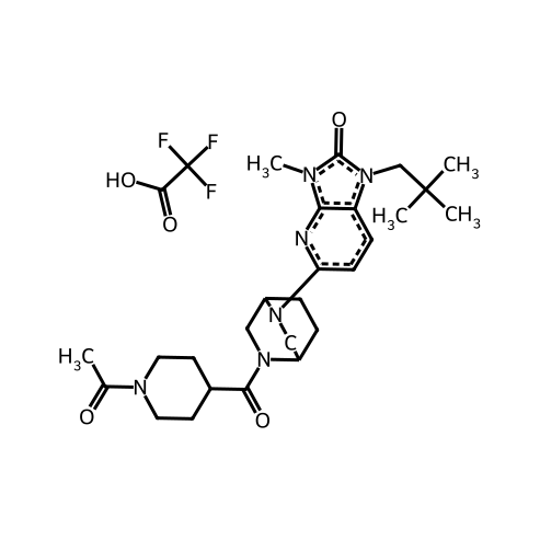 CC(=O)N1CCC(C(=O)N2CC3CCC2CN3c2ccc3c(n2)n(C)c(=O)n3CC(C)(C)C)CC1.O=C(O)C(F)(F)F